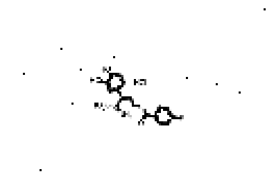 Cl.N[C@H](C(=O)O)C(CCOC(=O)c1ccc(F)cc1)c1ccc(O)c(O)c1